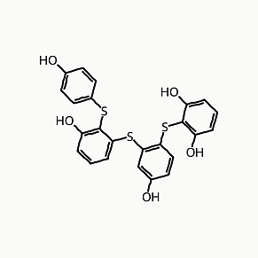 Oc1ccc(Sc2c(O)cccc2Sc2cc(O)ccc2Sc2c(O)cccc2O)cc1